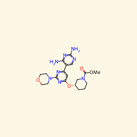 COC(=O)N1CCC[C@H](Oc2cc(-c3cnc(N)nc3N)nc(N3CCOCC3)n2)C1